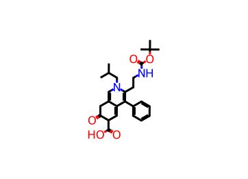 CC(C)CN1C=C2CC(=O)C(C(=O)O)C=C2C(c2ccccc2)=C1CCNC(=O)OC(C)(C)C